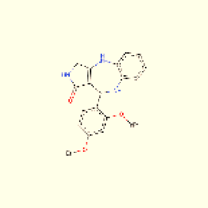 CCCOc1cc(OCC)ccc1C1Nc2ccccc2NC2=C1C(=O)NC2